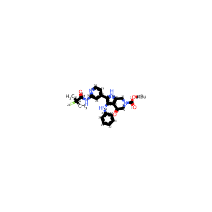 CC(C)(C)OC(=O)N1CC(=O)c2c([nH]c(-c3ccnc(NC(=O)C(C)(C)F)c3)c2Nc2ccccc2)C1